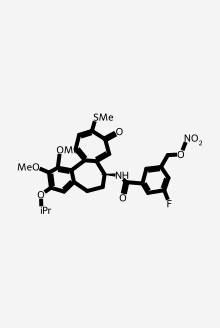 COc1c(OC(C)C)cc2c(c1OC)-c1ccc(SC)c(=O)cc1[C@@H](NC(=O)c1cc(F)cc(CO[N+](=O)[O-])c1)CC2